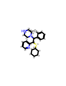 COc1ccccc1C(C(SC1CCCCC1)c1ccccn1)N1CCNCC1